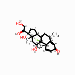 C[C@H]1CC2C3CC[C@](O)(C(=O)CO)[C@@]3(C)C[C@H](O)C2(F)[C@@]2(C)C=CC(=O)C=C12